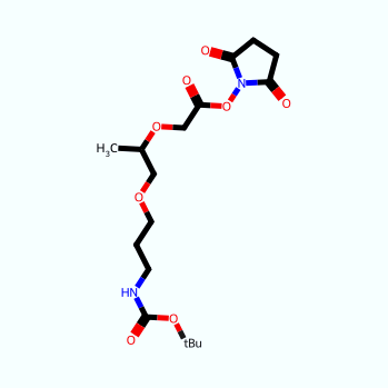 CC(COCCCNC(=O)OC(C)(C)C)OCC(=O)ON1C(=O)CCC1=O